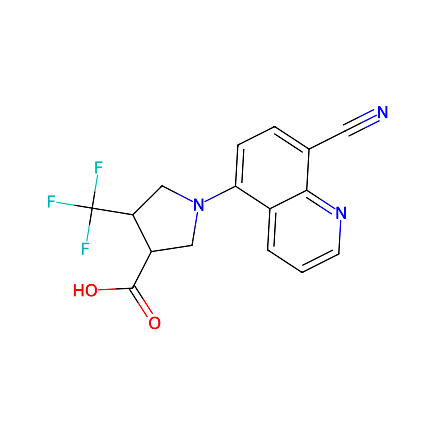 N#Cc1ccc(N2CC(C(=O)O)C(C(F)(F)F)C2)c2cccnc12